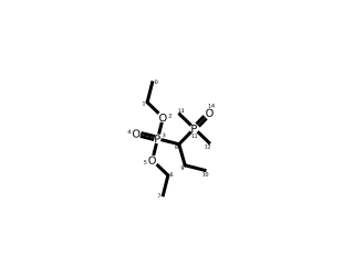 CCOP(=O)(OCC)C(CC)P(C)(C)=O